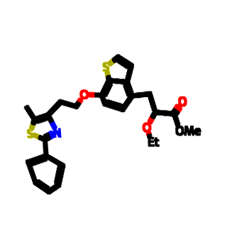 CCOC(Cc1ccc(OCCc2nc(-c3ccccc3)sc2C)c2sccc12)C(=O)OC